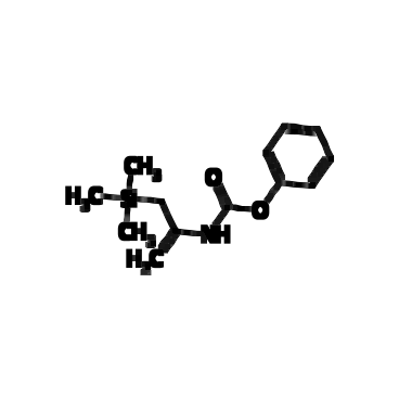 C=C(C[Si](C)(C)C)NC(=O)Oc1ccccc1